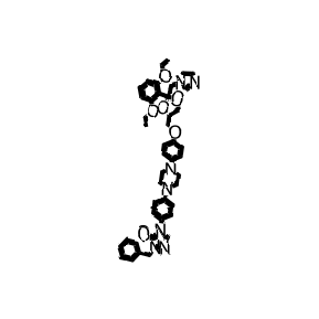 CCOc1cccc(OCC)c1C1(Cn2ccnc2)OCC(COc2ccc(N3CCN(c4ccc(-n5cnn(Cc6ccccc6)c5=O)cc4)CC3)cc2)O1